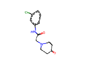 O=C1CCN(CC(=O)Nc2cccc(Cl)c2)CC1